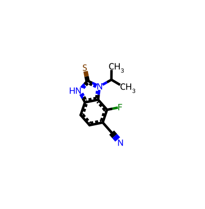 CC(C)n1c(=S)[nH]c2ccc(C#N)c(F)c21